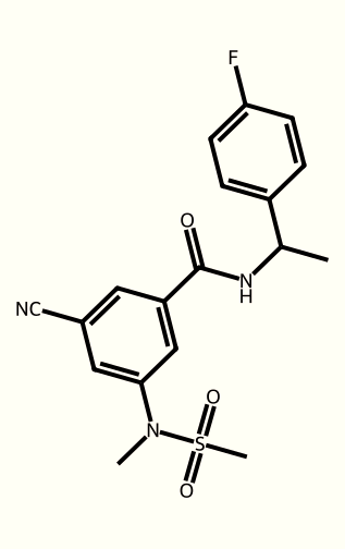 CC(NC(=O)c1cc(C#N)cc(N(C)S(C)(=O)=O)c1)c1ccc(F)cc1